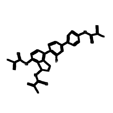 C=C(C)C(=O)Oc1ccc(-c2ccc(-c3ccc(OC(=O)C(=C)C)c4c3CCC4OC(=O)C(=C)C)c(F)c2)cc1